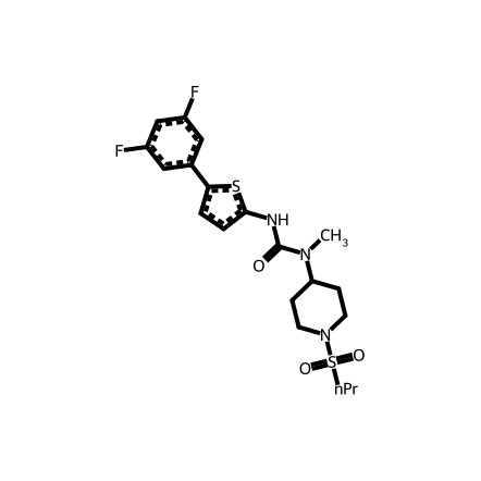 CCCS(=O)(=O)N1CCC(N(C)C(=O)Nc2ccc(-c3cc(F)cc(F)c3)s2)CC1